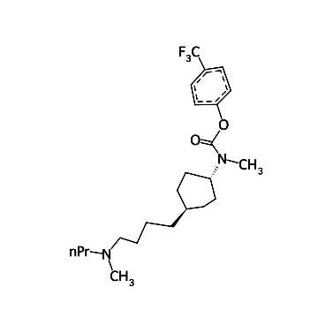 CCCN(C)CCCC[C@H]1CC[C@H](N(C)C(=O)Oc2ccc(C(F)(F)F)cc2)CC1